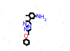 Cc1ccc(N)cc1-c1cnc2nc(COc3ccccc3)cn2c1